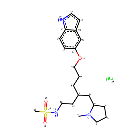 CN1CCCC1CC(CCCOc1ccc2[nH]ccc2c1)CCNS(C)(=O)=O.Cl